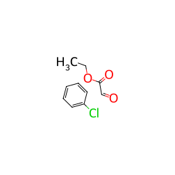 CCOC(=O)C=O.Clc1ccccc1